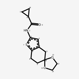 O=C(Nc1cc2c(s1)CCC1(C2)OCCO1)C1CC1